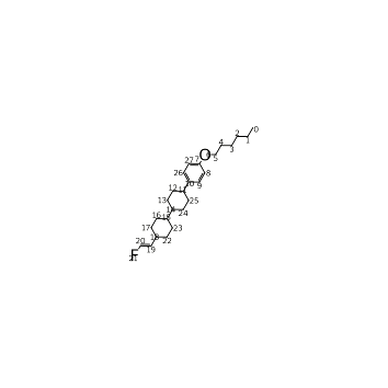 CCCCCCOc1ccc(C2CCC(C3CCC(C=CF)CC3)CC2)cc1